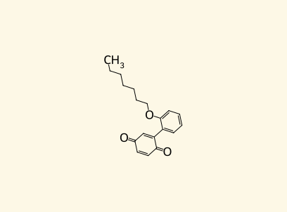 CCCCCCCOc1ccccc1C1=CC(=O)C=CC1=O